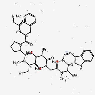 CCC(C)C(C(=O)N(C)/C=C\c1c[nH]c2ccccc12)N(C)C(=O)CN(C)C(=O)C(C(C)C)N(C)C(=O)[C@H](CC(C)C)N(C)C(=O)C1CCCN1C(=O)[C@H](Cc1ccccc1)NC(=O)CNC(C)=O